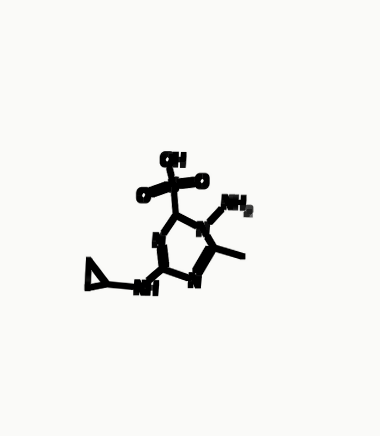 CC1=NC(NC2CC2)=NC(S(=O)(=O)O)N1N